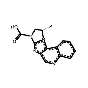 C[C@H]1CN(C(=O)O)c2nc3cnc4ccccc4c3n21